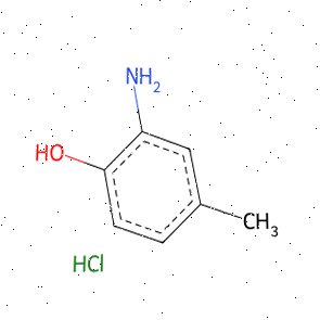 Cc1ccc(O)c(N)c1.Cl